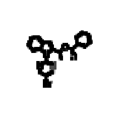 CC(OC(=O)c1ccccc1)c1cc2ccccc2n1-c1ncc(Br)cn1